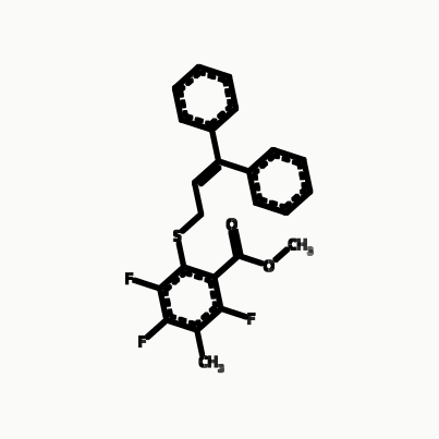 COC(=O)c1c(F)c(C)c(F)c(F)c1SCC=C(c1ccccc1)c1ccccc1